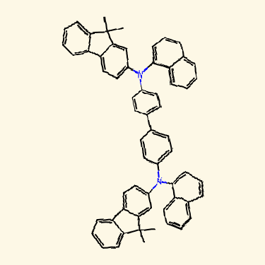 CC1(C)c2ccccc2-c2ccc(N(c3ccc(-c4ccc(N(c5ccc6c(c5)C(C)(C)c5ccccc5-6)c5cccc6ccccc56)cc4)cc3)c3cccc4ccccc34)cc21